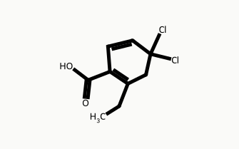 CCC1=C(C(=O)O)C=CC(Cl)(Cl)C1